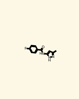 Cc1cc(NC(=O)c2ccc(F)cc2)[nH]n1